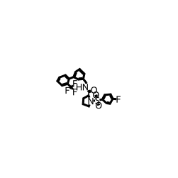 O=C(NCc1cccc(-c2ccccc2C(F)(F)F)c1)[C@@H]1CCCN1S(=O)(=O)c1ccc(F)cc1